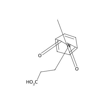 O=C(O)CCn1c(=O)c2ccc(cc2)c1=O